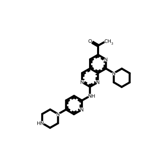 CC(=O)c1cc2cnc(Nc3ccc(N4CCNCC4)cn3)nc2c(N2CCCCC2)n1